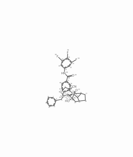 N#CC1CON(Cc2ccccc2)[C@H]1[C@]1(O)CC2CCC(C1)[C@H]2S(=O)(=O)c1cc(C(=O)Nc2cc(F)c(F)c(F)c2)ccc1Cl